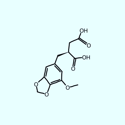 COc1cc(C[C@@H](CC(=O)O)C(=O)O)cc2c1OCO2